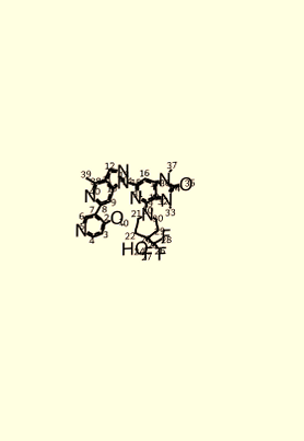 COc1ccncc1-c1cc2c(cnn2-c2cc3c(c(N4CCC(O)(C(F)(F)F)CC4)n2)n(C)c(=O)n3C)c(C)n1